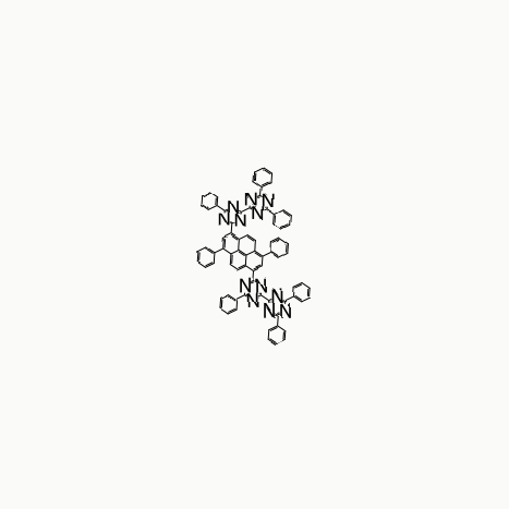 c1ccc(-c2nc(-c3ccccc3)nc(-c3nc(-c4ccccc4)nc(-c4cc(-c5ccccc5)c5ccc6c(-c7nc(-c8ccccc8)nc(-c8nc(-c9ccccc9)nc(-c9ccccc9)n8)n7)cc(-c7ccccc7)c7ccc4c5c76)n3)n2)cc1